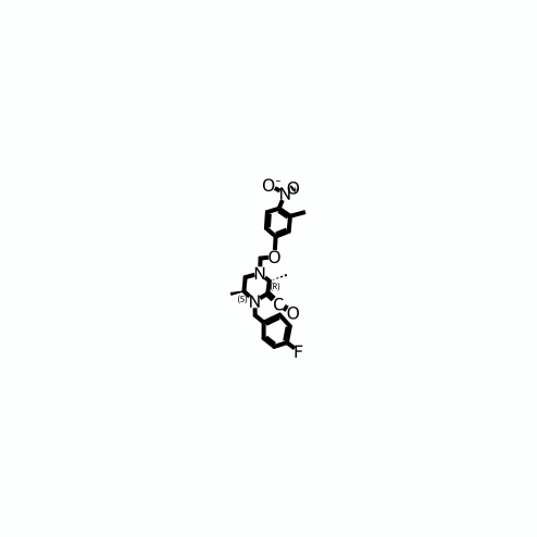 Cc1cc(OCN2C[C@H](C)N(Cc3ccc(F)cc3)C(=C=O)[C@H]2C)ccc1[N+](=O)[O-]